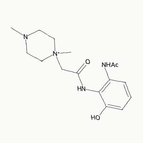 CC(=O)Nc1cccc(O)c1NC(=O)C[N+]1(C)CCN(C)CC1